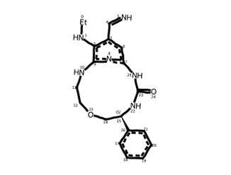 CCNc1c(C=N)cc2nc1NCCOC[C@H](c1ccccc1)NC(=O)N2